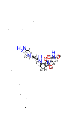 NC1CCN(C[C@@H]2C[C@@H]2CNc2cccc3c2C(=O)N(C2CCC(=O)NC2=O)C3=O)CC1